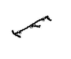 C=C=C=C=CC(CCCCC)CCOC(=O)CCCCCCCCCC(CCCCCCCCCC(=O)OCCC(C)CCCCC)C(=O)OCCCN(C)CC